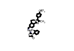 Cc1nc2n(c1-c1ccc(OC(F)(F)F)cc1)CCc1cc(/C=N\N=C3/SCC(=O)N3c3ccccc3C(C)C)ccc1-2